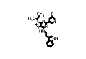 CC[C@H](C)n1cnc2c(NCCc3c[nH]c4ccccc34)nc(-c3cncc(F)c3)nc21